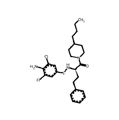 CCCCC1CCN(C(=O)[C@@H](CCc2ccccc2)NSc2cc(Cl)c(N)c(Cl)c2)CC1